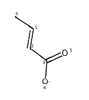 C/C=C/C([O])=O